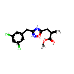 C=C(Cc1nc(Cc2cc(Cl)cc(Cl)c2)no1)C(=O)OC(C)(C)C